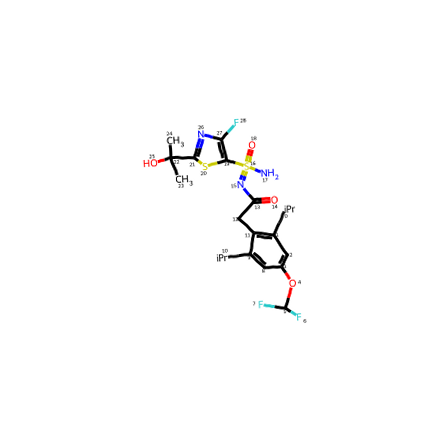 CC(C)c1cc(OC(F)F)cc(C(C)C)c1CC(=O)N=S(N)(=O)c1sc(C(C)(C)O)nc1F